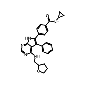 O=C(NC1CC1)c1ccc(-c2[nH]c3ncnc(NCC4CCCO4)c3c2-c2ccccc2)cc1